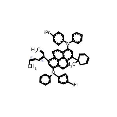 C=C/C(=C\C=C/C)c1cc(N(c2ccccc2)c2ccc(C(C)C)cc2)c2ccc3c(C4(C)C=CC=CC4)cc(N(c4ccccc4)c4ccc(C(C)C)cc4)c4ccc1c2c43